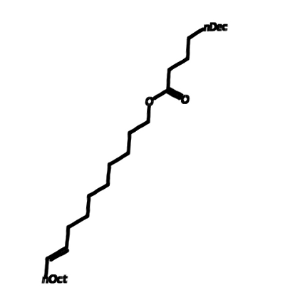 CCCCCCCCC=CCCCCCCCCOC(=O)CCCCCCCCCCCCC